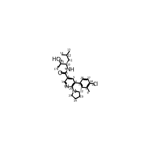 Cc1cc(-c2cc(C(=O)N[C@H](CC(C)C)C(O)I)cnc2N2CCCC2)ccc1Cl